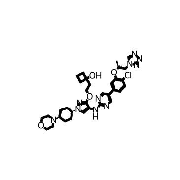 C[C@@H](Cn1cnnn1)Oc1cc(-c2cnc(Nc3cn([C@H]4CC[C@H](N5CCOCC5)CC4)nc3OCCC3(O)CCC3)nc2)ccc1Cl